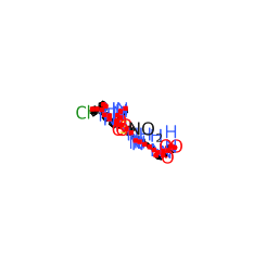 CC1(C)CCC(CN2CCN(c3ccc(C(=O)NS(=O)(=O)c4ccc(NCc5cn(CCCCCCNc6cccc7c6CN(C6CCC(=O)NC6=O)C7=O)nn5)c([N+](=O)[O-])c4)c(Oc4cnc5[nH]ccc5c4)c3)CC2)=C(c2ccc(Cl)cc2)C1